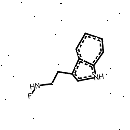 FNCCc1c[nH]c2ccccc12